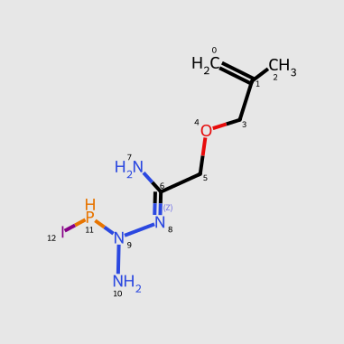 C=C(C)COC/C(N)=N/N(N)PI